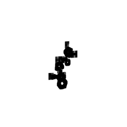 N#Cc1c(N2CC[C@H](NC(=O)[C@@H]3C[C@@H](F)CN3)C2)sc2c1CCCC2